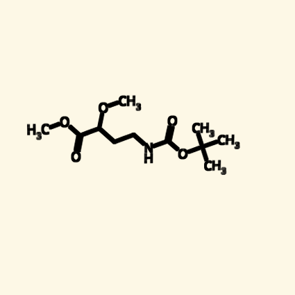 COC(=O)C(CCNC(=O)OC(C)(C)C)OC